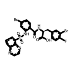 O=C(N[C@@H](Cc1ccc(F)c(Br)c1)C(=O)O)c1ccc(Br)cc1NS(=O)(=O)c1cccc2nccnc12